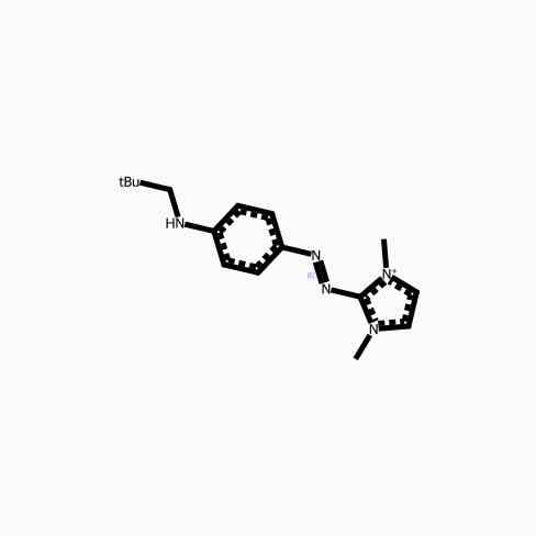 Cn1cc[n+](C)c1/N=N/c1ccc(NCC(C)(C)C)cc1